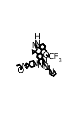 C=CC(=O)N1CC2(CCN(c3nc(N4CC(N5CCCC5)C4)nc4c(OCC(F)(F)F)c(-c5c(C)ccc6[nH]ncc56)c(C5(C)CC5)cc34)CC2)C1